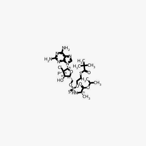 CC(C)OC(=O)[C@H](C)N[P@@](=S)(OCCSC(=O)C(C)(C)C)OC[C@H]1O[C@@H](n2cnc3c(N)nc(N)nc32)[C@](F)(Cl)[C@@H]1O